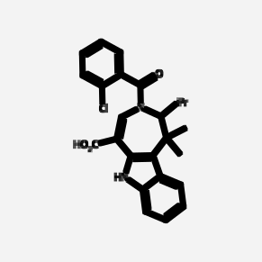 CC(C)C1N(C(=O)c2ccccc2Cl)C=C(C(=O)O)c2[nH]c3ccccc3c2C1(C)C